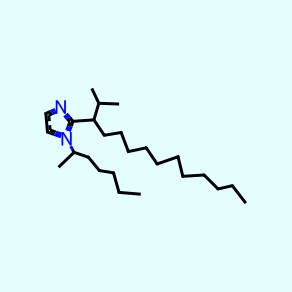 CCCCCCCCCCCC(c1nccn1C(C)CCCCC)C(C)C